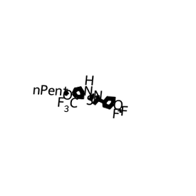 CCCCCOc1ccc(Nc2nc(-c3ccc(OC(F)F)cc3)cs2)cc1C(F)(F)F